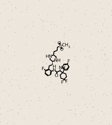 CS(=O)(=O)CCCC1CN[C@@H](CCc2c(F)cccc2NC(=O)[C@@H](N)C2(c3ccc(F)cc3)CCC(F)(F)CC2)CN1